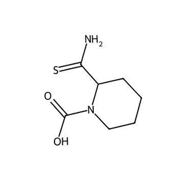 NC(=S)C1CCCCN1C(=O)O